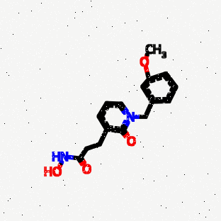 COc1cccc(Cn2cccc(CCC(=O)NO)c2=O)c1